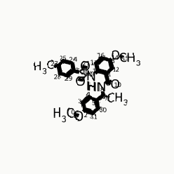 COc1ccc([C@H](C)NC(=O)c2cc(OC)ccc2NS(=O)(=O)c2ccc(C)cc2)cc1